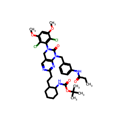 CCC(=O)Nc1cccc(CN2C(=O)N(c3c(Cl)c(OC)cc(OC)c3Cl)Cc3cnc(CCC4CCCCC4NC(=O)OC(C)(C)C)nc32)c1